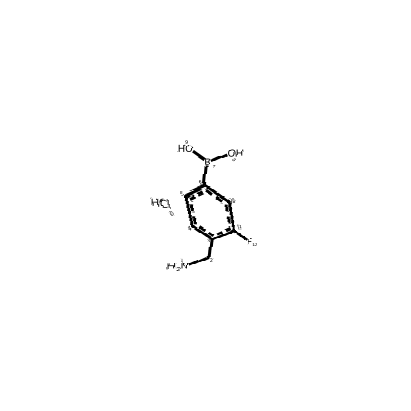 Cl.NCc1ccc(B(O)O)cc1F